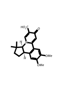 COc1cc2c(cc1OC)[C@H]1CCC(C)(C)[C@H]1n1cc(C(=O)O)c(=O)cc1-2